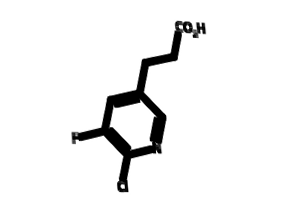 O=C(O)CCc1cnc(Cl)c(F)c1